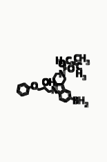 Bc1ccc2c(c1)c1c(n2CC(O)COc2ccccc2)CCN(C(=O)OC(C)(C)C)C1